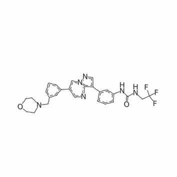 O=C(NCC(F)(F)F)Nc1cccc(-c2cnn3cc(-c4cccc(CN5CCOCC5)c4)cnc23)c1